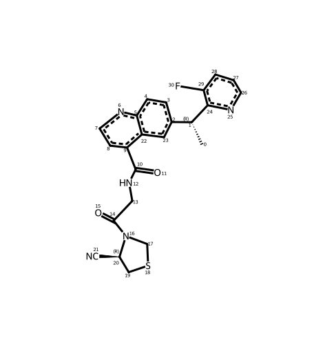 C[C@H](c1ccc2nccc(C(=O)NCC(=O)N3CSC[C@H]3C#N)c2c1)c1ncccc1F